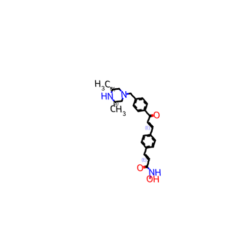 C[C@@H]1CN(Cc2ccc(C(=O)/C=C/c3ccc(/C=C/C(=O)NO)cc3)cc2)C[C@H](C)N1